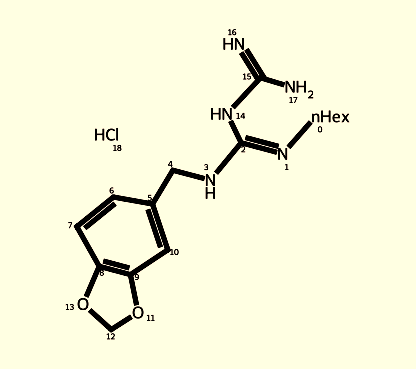 CCCCCCN=C(NCc1ccc2c(c1)OCO2)NC(=N)N.Cl